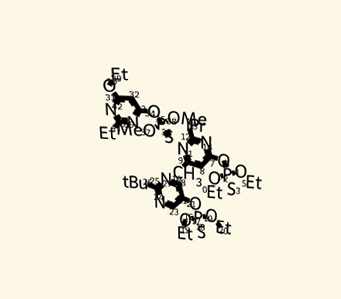 CCOP(=S)(OCC)Oc1cc(C)nc(C(C)C)n1.CCOP(=S)(OCC)Oc1cnc(C(C)(C)C)nc1.CCOc1cc(OP(=S)(OC)OC)nc(CC)n1